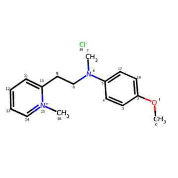 COc1ccc(N(C)CCc2cccc[n+]2C)cc1.[Cl-]